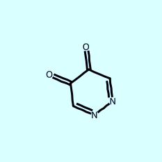 O=C1C=NN=CC1=O